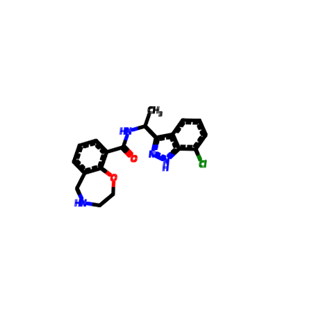 CC(NC(=O)c1cccc2c1OCCNC2)c1n[nH]c2c(Cl)cccc12